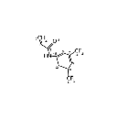 C=CC(=O)NC1=CC(C(F)(F)F)=CC(C(F)(F)F)C1